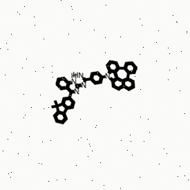 CC1(C)c2ccccc2-c2ccc(-c3n/c(=N/C(=N)c4ccc(-n5c6cccc7c6c6c8c(cccc8ccc65)-c5ccccc5-7)cc4)[nH]c4ccccc34)cc21